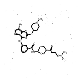 CC(C)c1cnn2c(Nc3cccc(C(=O)NC4CCN(C(=O)/C=C/CN(C)C)CC4)c3)nc(OC3CCN(C)CC3)nc12